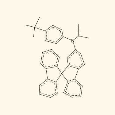 CC(C)N(c1ccc(C(C)(C)C)cc1)c1ccc2c(c1)C1(c3ccccc3-c3ccccc31)c1ccccc1-2